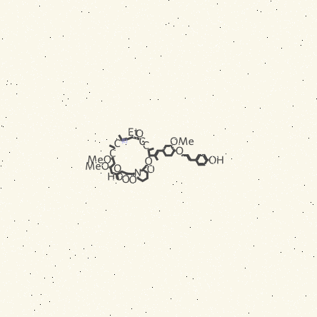 CCC1/C=C(\C)CC(C)CC(OC)C2OC(O)(C(=O)C(=O)N3CCCCC3C(=O)OC(C(C)=CC3CCC(OCC=Cc4ccc(O)cc4)C(OC)C3)C(C)CCC1=O)C(C)CC2OC